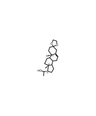 CC(O)[C@@H]1CCC2C3CC=C4CC5(CC[C@H]4C3CC[C@]21C)OCCO5